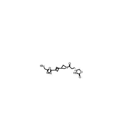 CC(C)(C)Cc1nnc(C23CC(C4CN(C(=O)CC[C@@H]5COC(=O)N5)C4)(C2)C3)o1